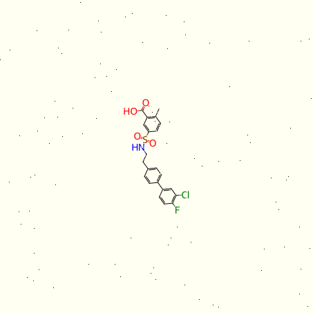 Cc1ccc(S(=O)(=O)NCCc2ccc(-c3ccc(F)c(Cl)c3)cc2)cc1C(=O)O